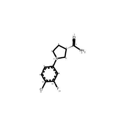 NC(=O)[C@H]1CCN(c2ccc(Cl)c(F)c2)C1